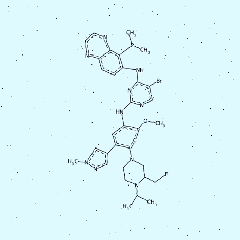 COc1cc(N2CCN(C(C)C)C(CF)C2)c(-c2cnn(C)c2)cc1Nc1ncc(Br)c(Nc2ccc3nccnc3c2P(C)C)n1